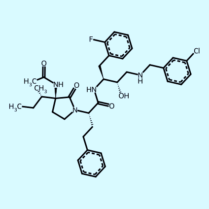 CC[C@H](C)[C@@]1(NC(C)=O)CCN([C@@H](CCc2ccccc2)C(=O)N[C@@H](Cc2ccccc2F)[C@@H](O)CNCc2cccc(Cl)c2)C1=O